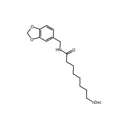 CCCCCCCCCCCCCCCCCC(=O)NCc1ccc2c(c1)OCO2